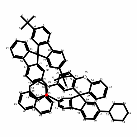 CC(C)(C)c1ccc2c(c1)C1(c3ccccc3-c3ccc(N(c4ccc5c(c4)C4(c6ccccc6O5)c5cc(C6CCCCC6)ccc5-c5ccc(C6CCCCC6)cc54)c4cccc5ccccc45)cc31)c1cc(C(C)(C)C)ccc1-2